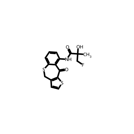 CC(O)(CF)C(=O)Nc1cccc2c1C(=O)c1sccc1CS2